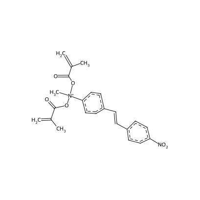 C=C(C)C(=O)O[N+](C)(OC(=O)C(=C)C)c1ccc(C=Cc2ccc([N+](=O)[O-])cc2)cc1